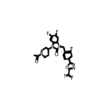 CC(=O)N1CCC(n2c(=O)n(Cc3ccc(-c4nnc(C(F)F)o4)cc3F)c3cc(F)c(F)cc32)CC1